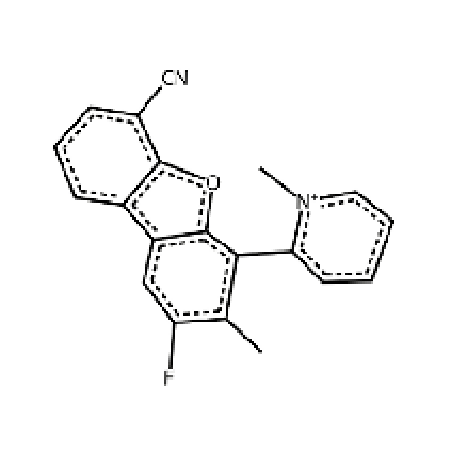 Cc1c(F)cc2c(oc3c(C#N)cccc32)c1-c1cccc[n+]1C